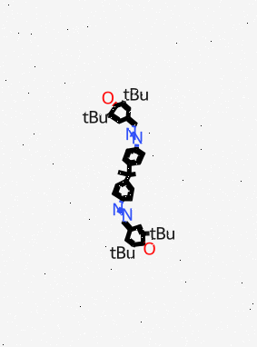 CC(C)(C)C1=CC(=C/N=N/c2ccc(C(C)(C)c3ccc(/N=N/C=C4C=C(C(C)(C)C)C(=O)C(C(C)(C)C)=C4)cc3)cc2)C=C(C(C)(C)C)C1=O